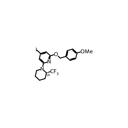 COc1ccc(COc2cc(I)cc(N3CCCC[C@@H]3C(F)(F)F)n2)cc1